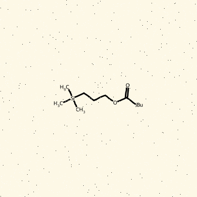 CCC(C)C(=O)OCCC[Si](C)(C)C